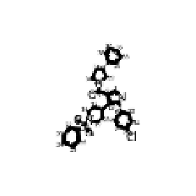 O=C(c1cnn(-c2ccc(Cl)cc2)c1C1CCN(S(=O)(=O)c2ccccc2)CC1)N1CC[C@H](c2ccccc2)C1